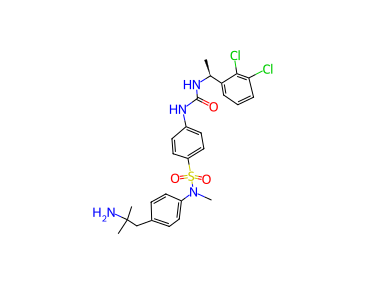 C[C@H](NC(=O)Nc1ccc(S(=O)(=O)N(C)c2ccc(CC(C)(C)N)cc2)cc1)c1cccc(Cl)c1Cl